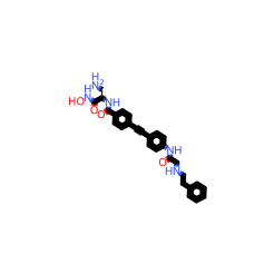 NC[C@H](NC(=O)c1ccc(C#Cc2ccc(NC(=O)CNCCc3ccccc3)cc2)cc1)C(=O)NO